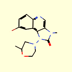 CC1CN(n2c(=O)n(C)c3cnc4ccc(Br)cc4c32)CCO1